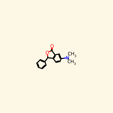 CN(C)c1ccc2c(c1)C(=O)OC2c1ccccc1